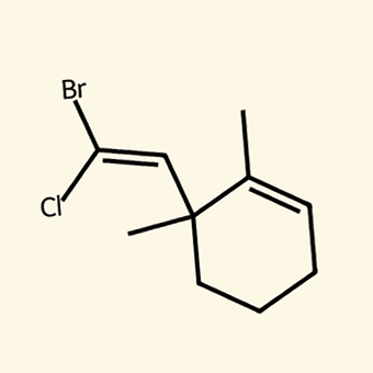 CC1=CCCCC1(C)C=C(Cl)Br